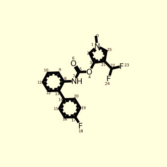 Cn1cc(OC(=O)Nc2ccccc2-c2ccc(F)cc2)c(C(F)F)c1